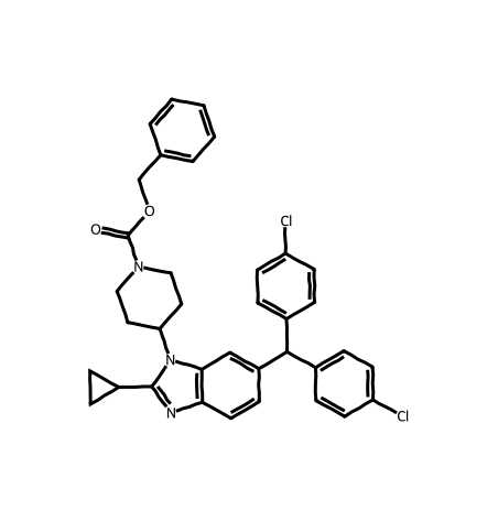 O=C(OCc1ccccc1)N1CCC(n2c(C3CC3)nc3ccc(C(c4ccc(Cl)cc4)c4ccc(Cl)cc4)cc32)CC1